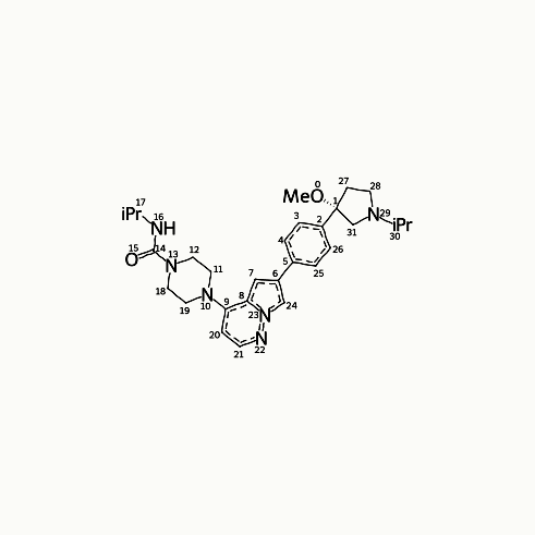 CO[C@]1(c2ccc(-c3cc4c(N5CCN(C(=O)NC(C)C)CC5)ccnn4c3)cc2)CCN(C(C)C)C1